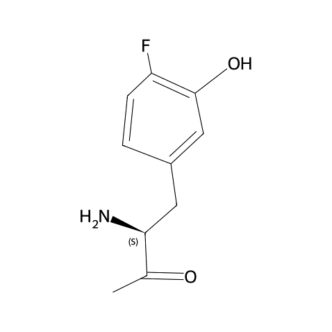 CC(=O)[C@@H](N)Cc1ccc(F)c(O)c1